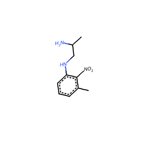 Cc1cccc(NCC(C)N)c1[N+](=O)[O-]